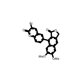 COc1cc2cc3c(c(-c4ccc5oc(=O)c(C(C)=O)cc5c4)c2cc1OC)C(=O)OC3